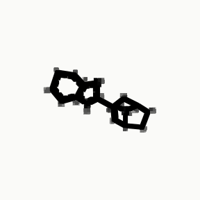 CN1C2C=C(c3nc4ccccc4s3)CC1CC2